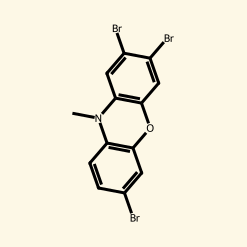 CN1c2ccc(Br)cc2Oc2cc(Br)c(Br)cc21